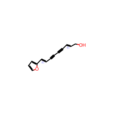 OC/C=C/C#CC#C/C=C/c1ccco1